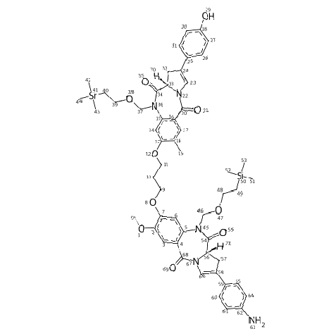 COc1cc2c(cc1OCCCOc1cc3c(cc1C)C(=O)N1C=C(c4ccc(O)cc4)C[C@H]1C(=O)N3COCC[Si](C)(C)C)N(COCC[Si](C)(C)C)C(=O)[C@@H]1CC(c3ccc(N)cc3)=CN1C2=O